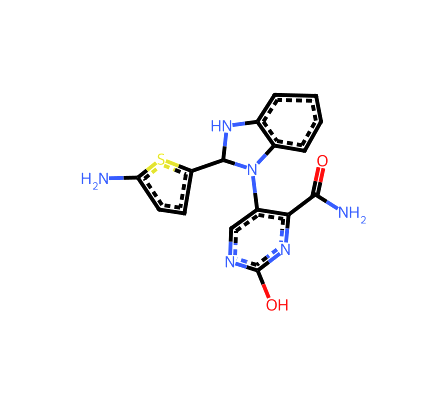 NC(=O)c1nc(O)ncc1N1c2ccccc2NC1c1ccc(N)s1